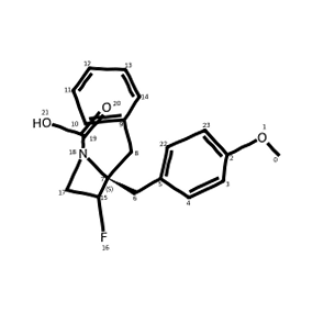 COc1ccc(C[C@@]2(Cc3ccccc3)C(F)CN2C(=O)O)cc1